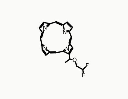 CC(OCC(F)F)C1=CC2=CC3=NC(=CC4=NC(=CC5=NC(=CC1=N2)C=C5)C=C4)C=C3